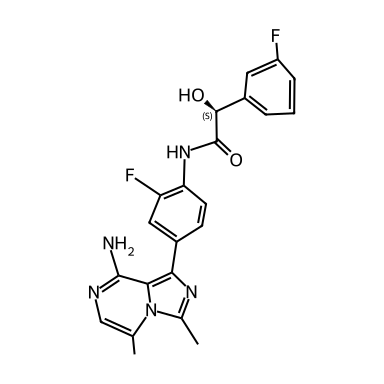 Cc1cnc(N)c2c(-c3ccc(NC(=O)[C@@H](O)c4cccc(F)c4)c(F)c3)nc(C)n12